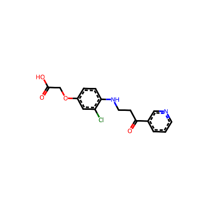 O=C(O)COc1ccc(NCCC(=O)c2cccnc2)c(Cl)c1